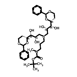 CN(CCCN(C[C@H](O)[C@@H](O)[C@H]1CCOC(c2ccccc2)O1)C[C@H](O)[C@@H](O)[C@H]1CCOC(c2ccccc2)O1)C(=O)OC(C)(C)C